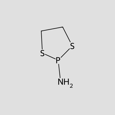 NP1SCCS1